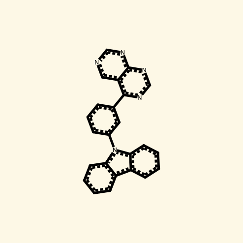 c1cc(-c2ncnc3ncncc23)cc(-n2c3ccccc3c3ccccc32)c1